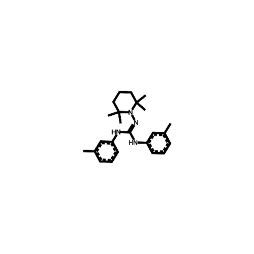 Cc1cccc(NC(=NN2C(C)(C)CCCC2(C)C)Nc2cccc(C)c2)c1